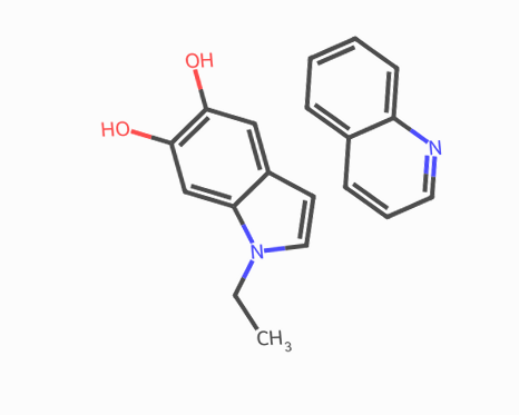 CCn1ccc2cc(O)c(O)cc21.c1ccc2ncccc2c1